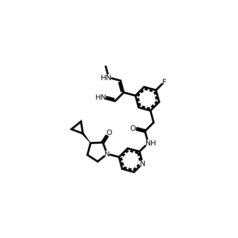 CN/C=C(\C=N)c1cc(F)cc(CC(=O)Nc2cc(N3CC[C@@H](C4CC4)C3=O)ccn2)c1